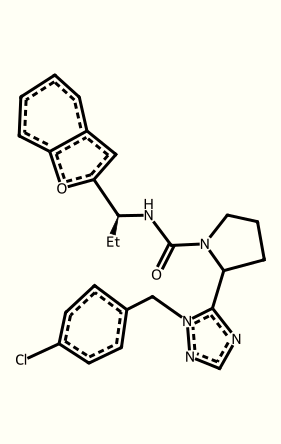 CC[C@H](NC(=O)N1CCCC1c1ncnn1Cc1ccc(Cl)cc1)c1cc2ccccc2o1